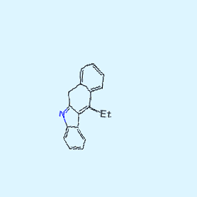 CCC1=C2C(=Nc3ccccc32)Cc2ccccc21